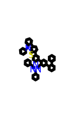 c1ccc(-c2nc(-c3ccccc3)nc(-c3cc(-c4ccccc4-c4ccccc4)ccc3-c3ccc4sc5c(ccc6c7ccccc7n(-c7ccccc7)c65)c4c3)n2)cc1